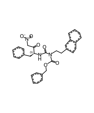 O=C(C[N+](=O)[O-])[C@H](Cc1ccccc1)NC(=O)N(CCc1ccc2ccccc2c1)C(=O)OCc1ccccc1